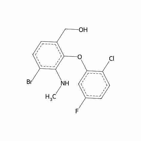 CNc1c(Br)ccc(CO)c1Oc1cc(F)ccc1Cl